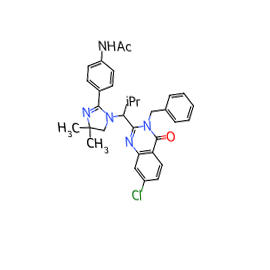 CC(=O)Nc1ccc(C2=NC(C)(C)CN2C(c2nc3cc(Cl)ccc3c(=O)n2Cc2ccccc2)C(C)C)cc1